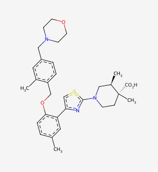 Cc1ccc(OCc2ccc(CN3CCOCC3)cc2C)c(-c2csc(N3CC[C@@](C)(C(=O)O)[C@H](C)C3)n2)c1